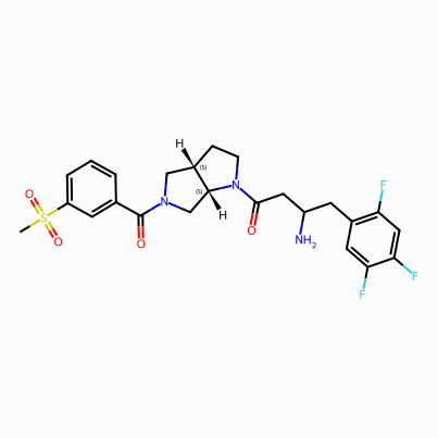 CS(=O)(=O)c1cccc(C(=O)N2C[C@@H]3CCN(C(=O)CC(N)Cc4cc(F)c(F)cc4F)[C@@H]3C2)c1